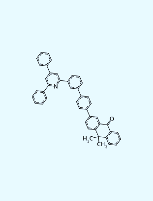 CC1(C)c2ccccc2C(=O)c2cc(-c3ccc(-c4cccc(-c5cc(-c6ccccc6)cc(-c6ccccc6)n5)c4)cc3)ccc21